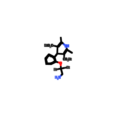 CCOC(=O)C1=C(C)NC(C)=C(C(=O)OCC)C1c1ccccc1OC(CC)(CC)CN